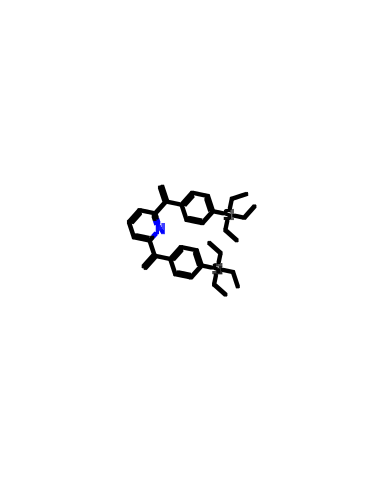 C=C(c1ccc([Si](CC)(CC)CC)cc1)c1cccc(C(=C)c2ccc([Si](CC)(CC)CC)cc2)n1